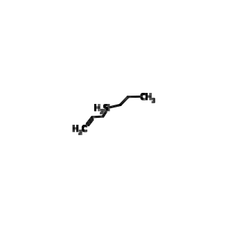 C=CC[SiH2]CCC